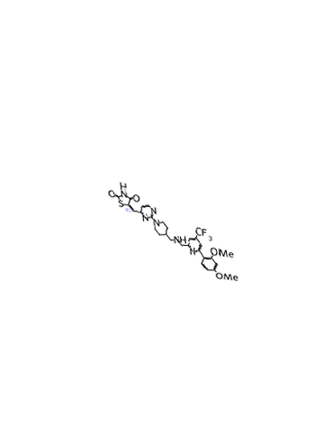 COc1ccc(-c2cc(C(F)(F)F)cc(CNCC3CCN(c4nccc(/C=C5/SC(=O)NC5=O)n4)CC3)n2)c(OC)c1